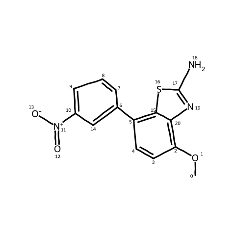 COc1ccc(-c2cccc([N+](=O)[O-])c2)c2sc(N)nc12